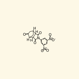 O=C1C[C@H]2CC[C@@H]1[C@H]1C(=O)N(c3cc([N+](=O)[O-])cc([N+](=O)[O-])c3)C(=O)[C@@H]21